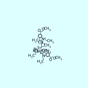 CCCN1/C(=C/C=C(C)/C(Sc2nnc(CC)s2)=C(/C=C/C2=[N+](CCC)c3cc(C(=O)COC)ccc3C2(C)C)CC)C(C)(C)c2ccc(C(=O)COC)cc21